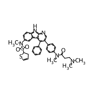 CN(C)CCC(=O)N(C)c1ccc(-c2cnc3[nH]c4ccc(N(C)S(=O)(=O)C5CC=CS5)cc4c3c2-c2ccccc2)cc1